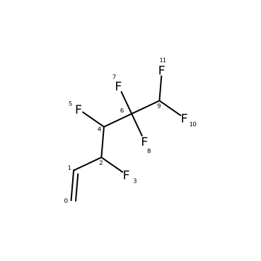 C=CC(F)C(F)C(F)(F)C(F)F